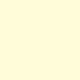 CC(C)(C)c1nnc(-c2ccc(B3OC(C)(C)C(C)(C)O3)cc2C(C)(C)C)o1